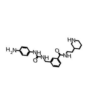 Nc1ccc(NC(=O)NCc2cccc(C(=O)NCCC3CCCNC3)c2)cc1